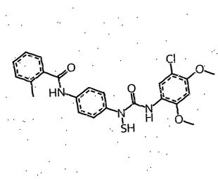 COc1cc(OC)c(NC(=O)N(S)c2ccc(NC(=O)c3ccccc3C)cc2)cc1Cl